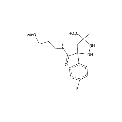 COCCCNC(=O)C1(c2ccc(F)cc2)CC(C)(C(=O)O)NN1